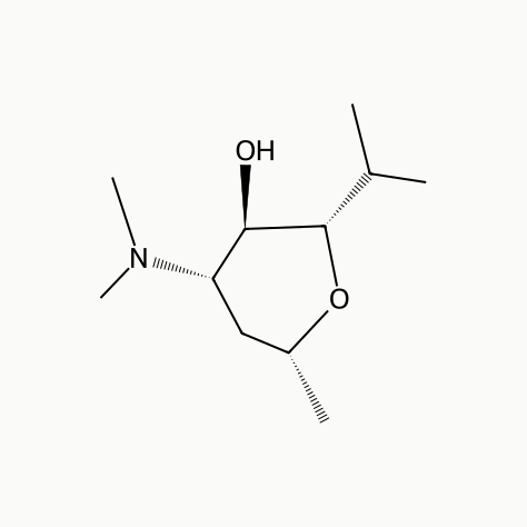 CC(C)[C@@H]1O[C@H](C)C[C@H](N(C)C)[C@H]1O